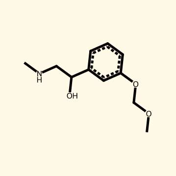 CNCC(O)c1cccc(OCOC)c1